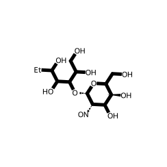 CCC(O)C(O)C(O[C@@H]1OC(CO)[C@@H](O)C(O)[C@@H]1N=O)C(O)CO